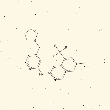 Fc1cc(C(F)(F)F)c2cc(Nc3cc(CN4CCCC4)ccn3)ncc2c1